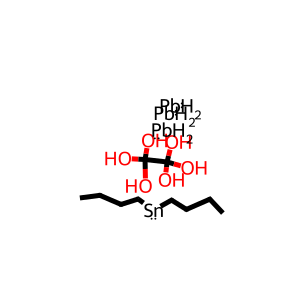 CCC[CH2][Sn][CH2]CCC.OC(O)(O)C(O)(O)O.[PbH2].[PbH2].[PbH2]